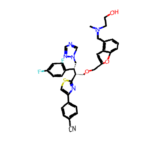 CN(CCO)Cc1cccc2oc(COC[C@H](c3nc(-c4ccc(C#N)cc4)cs3)[C@@H](Cn3cncn3)c3ccc(F)cc3F)cc12